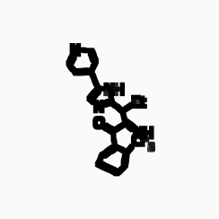 CCC(C(=N)C(=O)c1ccccc1C(F)(F)F)c1ncc(-c2ccncc2)[nH]1